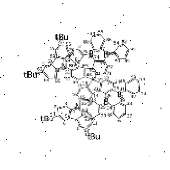 CC(C)(C)c1ccc2c(c1)c1cc(C(C)(C)C)ccc1n2-c1ccc2c(c1)-c1c(ccc3c1B(c1ccccc1)c1ccccc1B3c1ccccc1)C21c2ccc(-n3c4ccc(C(C)(C)C)cc4c4cc(C(C)(C)C)ccc43)cc2-c2c1ccc1c2B(c2ccccc2)c2ccccc2B1c1ccccc1